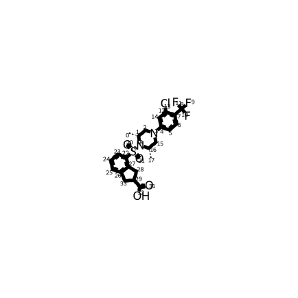 C[C@@H]1CN(c2ccc(C(F)(F)F)c(Cl)c2)C[C@H](C)N1S(=O)(=O)c1cccc2c1CC(C(=O)O)C2